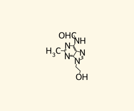 Cc1nc(NC=O)c2ncn(CCO)c2n1